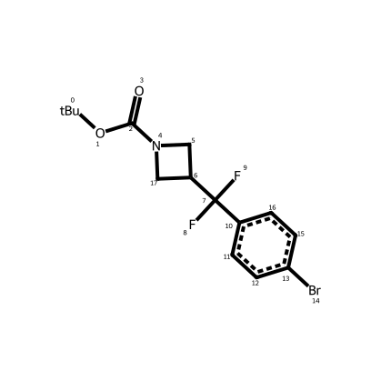 CC(C)(C)OC(=O)N1CC(C(F)(F)c2ccc(Br)cc2)C1